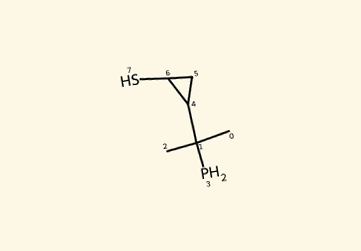 CC(C)(P)C1CC1S